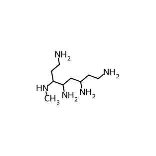 CNC(CCN)C(N)CC(N)CCN